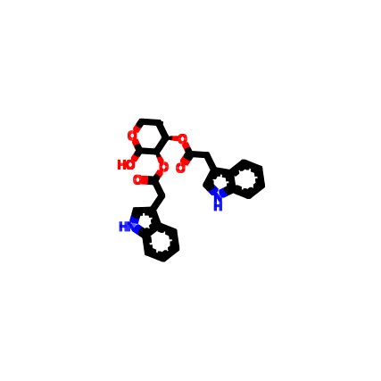 O=C(Cc1c[nH]c2ccccc12)O[C@@H]1[CH]COC(O)[C@@H]1OC(=O)Cc1c[nH]c2ccccc12